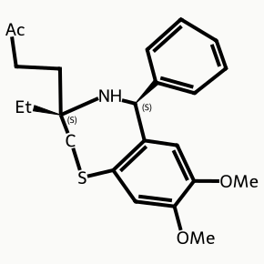 CC[C@]1(CCC(C)=O)CSc2cc(OC)c(OC)cc2[C@H](c2ccccc2)N1